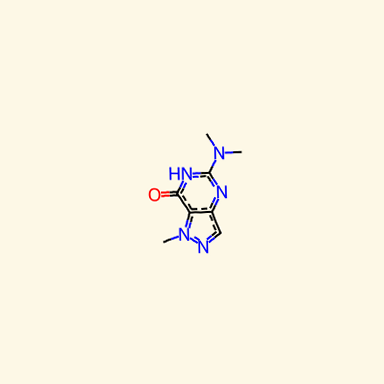 CN(C)c1nc2cnn(C)c2c(=O)[nH]1